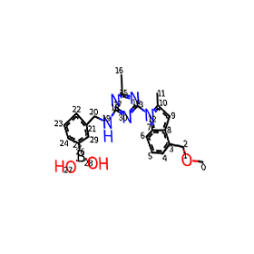 COCc1cccc2c1cc(C)n2-c1nc(C)nc(NCc2cccc(B(O)O)c2)n1